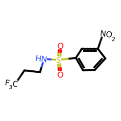 O=[N+]([O-])c1cccc(S(=O)(=O)NCCC(F)(F)F)c1